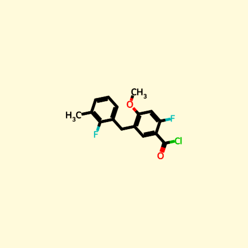 COc1cc(F)c(C(=O)Cl)cc1Cc1cccc(C)c1F